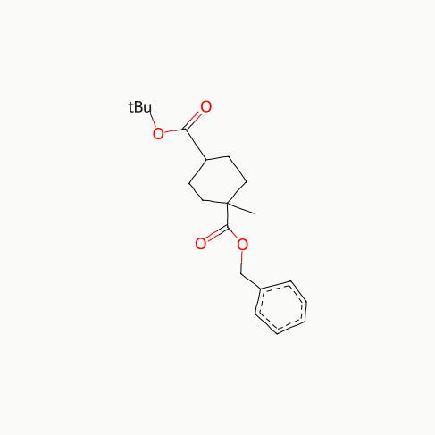 CC(C)(C)OC(=O)C1CCC(C)(C(=O)OCc2ccccc2)CC1